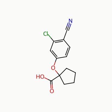 N#Cc1ccc(OC2(C(=O)O)CCCC2)cc1Cl